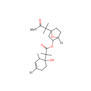 CCC1=CC(C)C(O)(C(C)(C)C(=O)OC2CC3(C(C)(C)C(=O)OC)CCC2(CC)O3)CC1